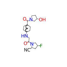 N#C[C@@H]1C[C@H](F)CN1C(=O)CNC12CCC(C(=O)N3CCC(O)C3)(CC1)CC2